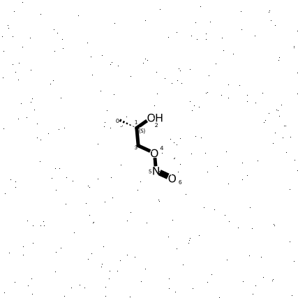 C[C@H](O)CON=O